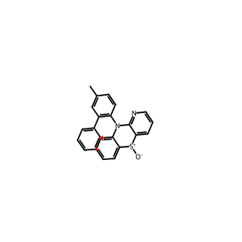 Cc1ccc(N2c3ncccc3[S+]([O-])c3cccnc32)c(-c2ccccc2)c1